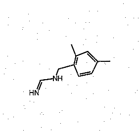 Cc1ccc(CNC=N)c(C)c1